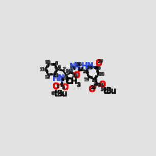 CC(C)(C)OC(=O)N[C@](C)(Cc1ccccc1)c1nnc(-c2cc(C(=O)OC(C)(C)C)cc(=O)[nH]2)o1